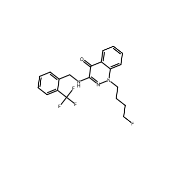 O=c1c(NCc2ccccc2C(F)(F)F)nn(CCCCF)c2ccccc12